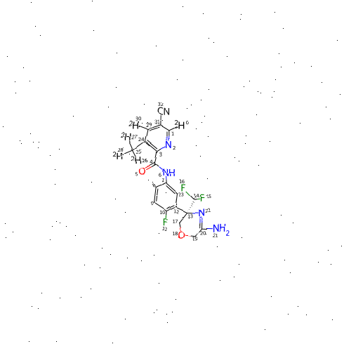 [2H]c1nc(C(=O)Nc2ccc(F)c([C@]3(C(F)F)COCC(N)=N3)c2)c(C([2H])([2H])[2H])c([2H])c1C#N